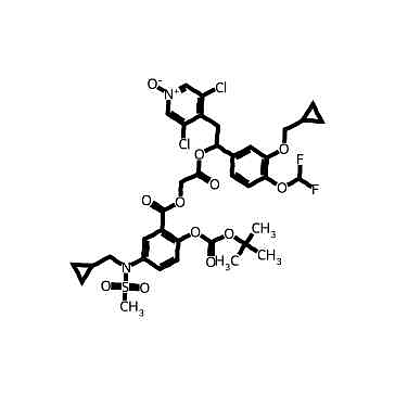 CC(C)(C)OC(=O)Oc1ccc(N(CC2CC2)S(C)(=O)=O)cc1C(=O)OCC(=O)OC(Cc1c(Cl)c[n+]([O-])cc1Cl)c1ccc(OC(F)F)c(OCC2CC2)c1